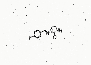 O=C1NCCN1/N=C/c1ccc(F)cc1